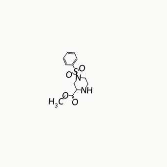 COC(=O)C1CN(S(=O)(=O)c2ccccc2)CCN1